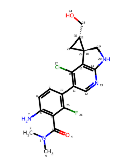 CN(C)C(=O)c1c(N)ccc(-c2cnc3c(c2Cl)[C@]2(CN3)C[C@@H]2CO)c1F